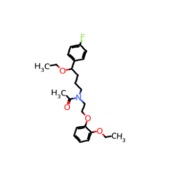 CCOc1ccccc1OCCN(CCCC(OCC)c1ccc(F)cc1)C(C)=O